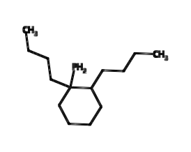 CCCCC1CCCCC1(P)CCCC